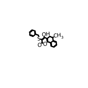 CC1Cc2c(oc(=O)c(SCc3ccccc3)c2O)-c2ccccc21